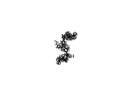 CCCc1ccc(C2Oc3cc(-c4c[nH]c([C@@H]5CCCN5C(=O)[C@@H](NC(=O)OC)C(C)C)n4)cc(F)c3-c3cc4cc(-c5cnc([C@@H]6CCCN6C(=O)[C@@H](NC(=O)OC)C(C)C)[nH]5)ccc4n32)s1